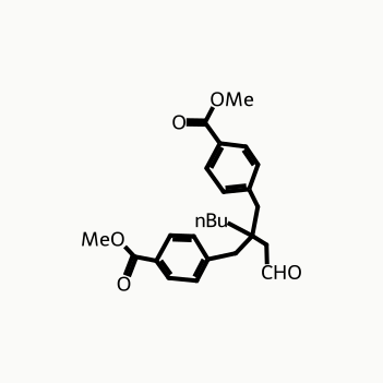 CCCCC(CC=O)(Cc1ccc(C(=O)OC)cc1)Cc1ccc(C(=O)OC)cc1